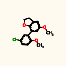 COc1cc2c(c(-c3cc(Cl)ccc3OC)c1)O[CH]C2